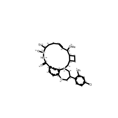 CCCc1cc(Cl)ccc1C1COc2ccc3cc2N(C1)CC1CCC1C(OC)/C=C/CCC(CC)[S+]([O-])NC3=O